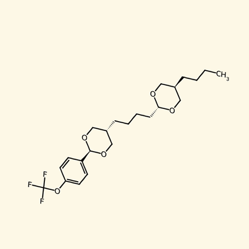 CCCC[C@H]1CO[C@H](CCCC[C@H]2CO[C@H](c3ccc(OC(F)(F)F)cc3)OC2)OC1